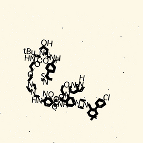 Cc1ncsc1-c1ccc([C@H](C)NC(=O)[C@@H]2C[C@@H](O)CN2C(=O)[C@@H](NC(=O)CCOCCN2CCN(CCNc3ccc(S(=O)(=O)NC(=O)c4ccc(N5CCN(CC6=C(c7ccc(Cl)cc7)CC(C)(C)CC6)CC5)cc4N4CCCOc5nc6[nH]ccc6cc54)cc3[N+](=O)[O-])CC2)C(C)(C)C)cc1